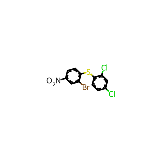 O=[N+]([O-])c1ccc(Sc2ccc(Cl)cc2Cl)c(Br)c1